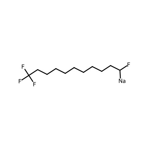 F[CH]([Na])CCCCCCCCCC(F)(F)F